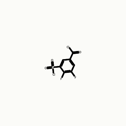 O=C(Cl)c1cc(F)c(F)c(S(=O)(=O)Cl)c1